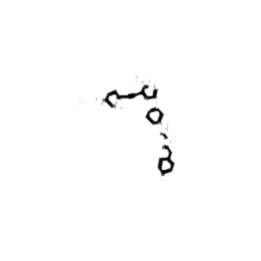 Nc1ccc(C#Cc2c(Oc3ccc(NC(=O)NC(=O)Cc4ccc(F)cc4)cc3F)ccnc2N)nc1